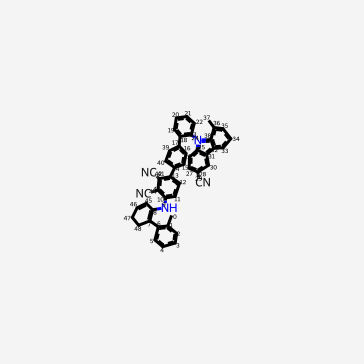 Cc1ccccc1C1=C(Nc2ccc(-c3ccc(-c4ccccc4-n4c5ccc(C#N)cc5c5cccc(C)c54)cc3)c(C#N)c2C#N)C=CCC1